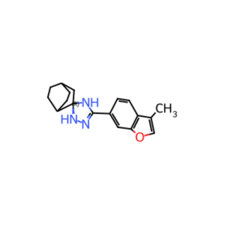 Cc1coc2cc(C3=NN[C@@]4(CC5CCC4CC5)N3)ccc12